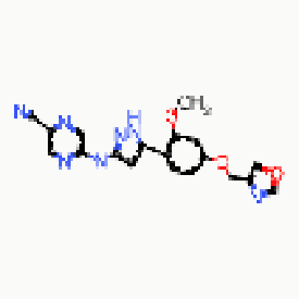 COc1cc(OCc2cocn2)ccc1-c1cc(Nc2cnc(C#N)cn2)n[nH]1